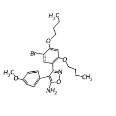 CCCCOc1cc(OCCCC)c(-c2noc(N)c2-c2ccc(OC)cc2)cc1Br